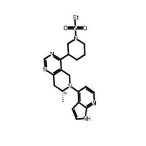 CCS(=O)(=O)N1CCCC(c2ncnc3c2CN(c2ccnc4[nH]ccc24)[C@H](C)C3)C1